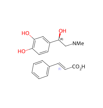 CNC[C@H](O)c1ccc(O)c(O)c1.O=C(O)/C=C/c1ccccc1